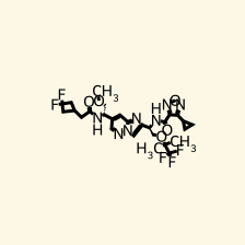 COC[C@@H](NC(=O)CC1CC(F)(F)C1)c1cnn2cc([C@H](COC(C)(C)C(F)(F)F)NC(=O)c3nonc3C3CC3)nc2c1